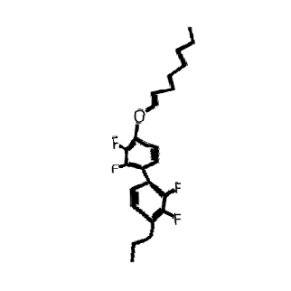 CCCCCC/C=C/Oc1ccc(-c2ccc(CCC)c(F)c2F)c(F)c1F